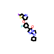 O=c1c(-c2ccc(Oc3ccnc4cc(I)sc34)c(F)c2)cnc2n1CCN2c1ccccc1